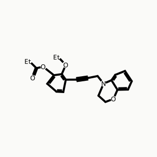 CCOc1c(C#CCN2CCOc3ccccc32)cccc1OC(=O)CC